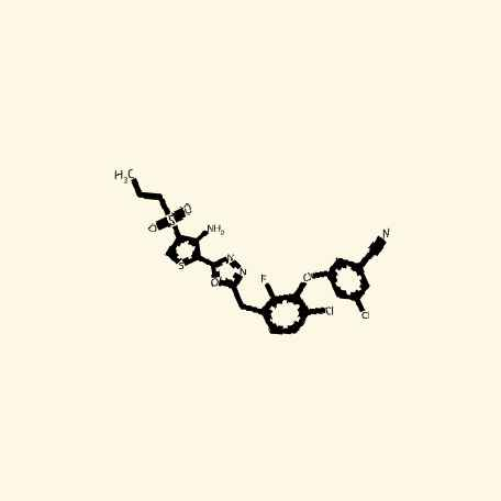 CCCS(=O)(=O)c1csc(-c2nnc(Cc3ccc(Cl)c(Oc4cc(Cl)cc(C#N)c4)c3F)o2)c1N